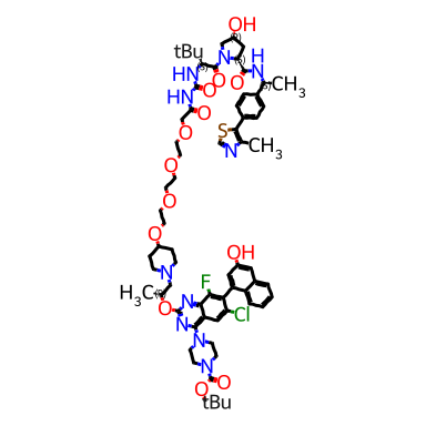 Cc1ncsc1-c1ccc([C@H](C)NC(=O)[C@@H]2C[C@@H](O)CN2C(=O)[C@@H](NC(=O)NC(=O)COCCOCCOCCOC2CCN(C[C@@H](C)Oc3nc(N4CCN(C(=O)OC(C)(C)C)CC4)c4cc(Cl)c(-c5cc(O)cc6ccccc56)c(F)c4n3)CC2)C(C)(C)C)cc1